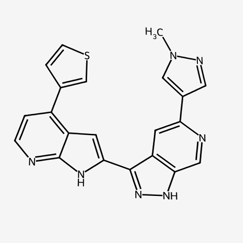 Cn1cc(-c2cc3c(-c4cc5c(-c6ccsc6)ccnc5[nH]4)n[nH]c3cn2)cn1